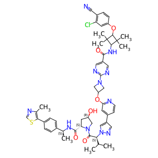 Cc1ncsc1-c1ccc([C@H](C)NC(=O)[C@@H]2C[C@@H](O)CN2C(=O)[C@H](C(C)C)n2cc(-c3ccnc(OC4CN(c5ncc(C(=O)NC6C(C)(C)C(Oc7ccc(C#N)c(Cl)c7)C6(C)C)cn5)C4)c3)cn2)cc1